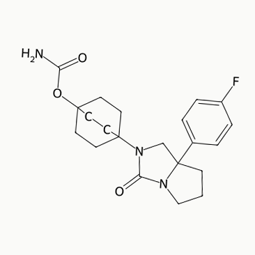 NC(=O)OC12CCC(N3CC4(c5ccc(F)cc5)CCCN4C3=O)(CC1)CC2